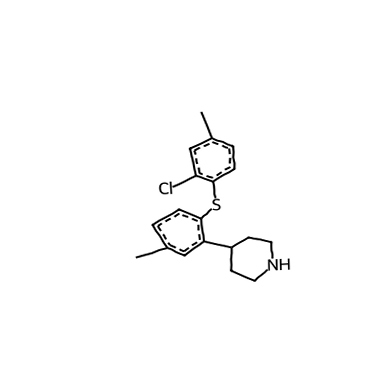 Cc1ccc(Sc2ccc(C)cc2C2CCNCC2)c(Cl)c1